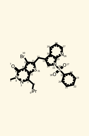 CC(C)Cc1nn(C)c(=O)c2c(Br)c(Cc3cn(S(=O)(=O)c4ccccc4)c4ncccc34)sc12